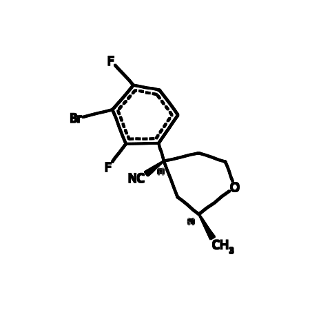 C[C@H]1C[C@](C#N)(c2ccc(F)c(Br)c2F)CCO1